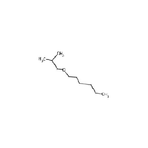 CCCCCCO[CH]C(C)C